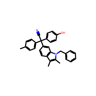 Cc1ccc(C(C#N)(c2ccc(O)cc2)c2ccc3c(C)c(C)n(Cc4ccccc4)c3c2)cc1